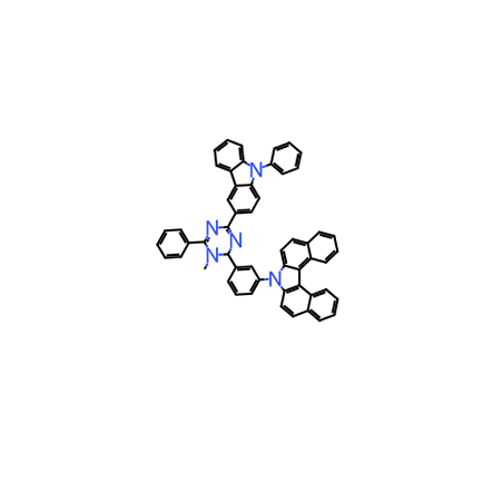 CN1C(c2ccccc2)=NC(c2ccc3c(c2)c2ccccc2n3-c2ccccc2)=NC1c1cccc(-n2c3ccc4ccccc4c3c3c4ccccc4ccc32)c1